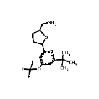 CC(C)(C)c1cc(OC(F)(F)F)cc(C2CCC(CN)O2)c1